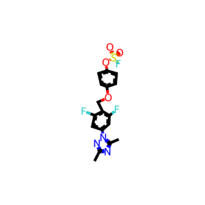 Cc1nc(C)n(-c2cc(F)c(COc3ccc(OS(=O)(=O)F)cc3)c(F)c2)n1